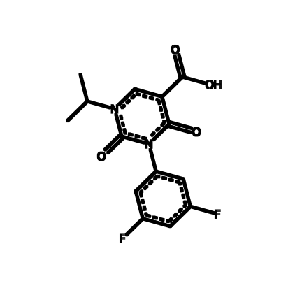 CC(C)n1cc(C(=O)O)c(=O)n(-c2cc(F)cc(F)c2)c1=O